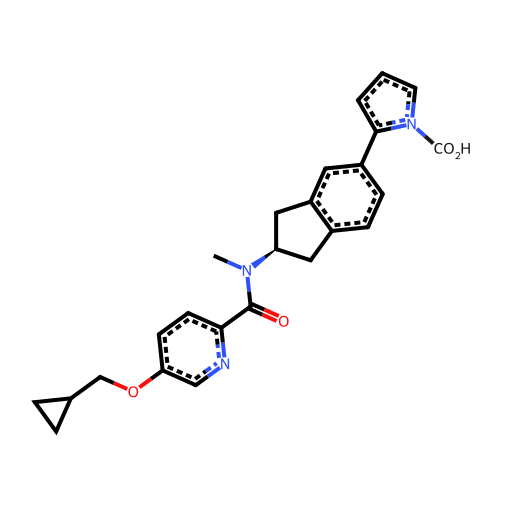 CN(C(=O)c1ccc(OCC2CC2)cn1)[C@@H]1Cc2ccc(-c3cccn3C(=O)O)cc2C1